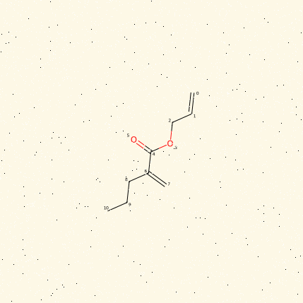 C=CCOC(=O)C(=C)CCC